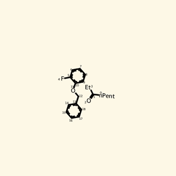 CCCCCC(=O)CC.Fc1ccccc1OCc1ccccc1